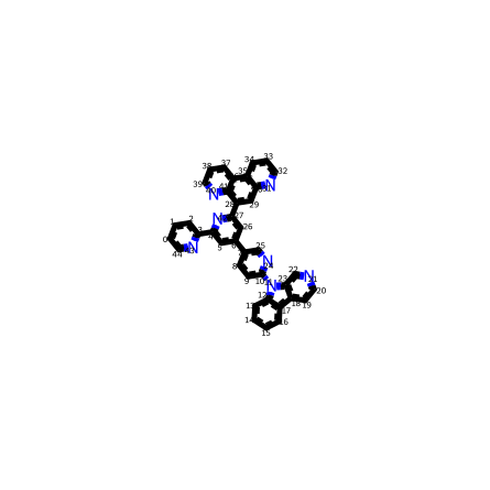 c1ccc(-c2cc(-c3ccc(-n4c5ccccc5c5ccncc54)nc3)cc(-c3cc4ncccc4c4cccnc34)n2)nc1